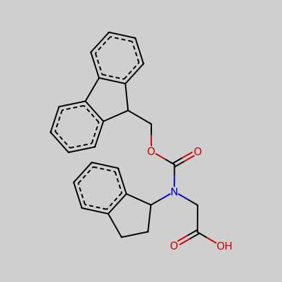 O=C(O)CN(C(=O)OCC1c2ccccc2-c2ccccc21)C1CCc2ccccc21